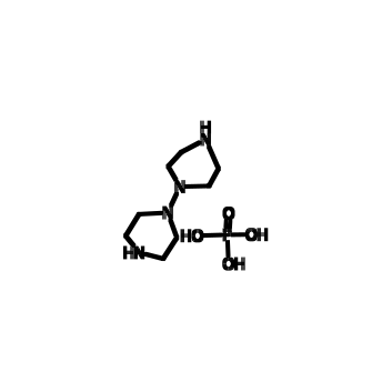 C1CN(N2CCNCC2)CCN1.O=P(O)(O)O